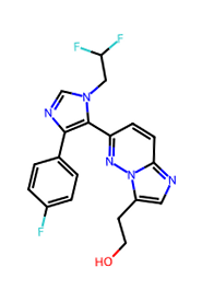 OCCc1cnc2ccc(-c3c(-c4ccc(F)cc4)ncn3CC(F)F)nn12